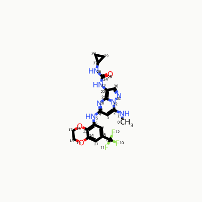 CNc1cc(Nc2cc(C(F)(F)F)cc3c2OCCO3)nc2c(NC(=O)NC3CC3)cnn12